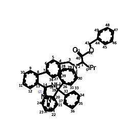 CC(C)C(NCc1ccc(-c2ccccc2/C(=N/N=N)NC(c2ccccc2)(c2ccccc2)c2ccccc2)cc1)C(=O)OCc1ccccc1